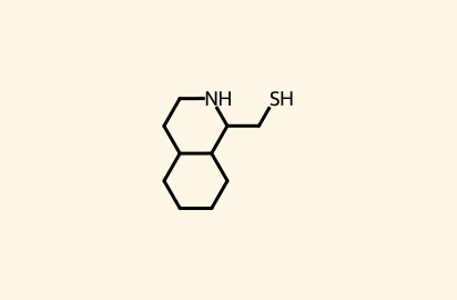 SCC1NCCC2CCCCC21